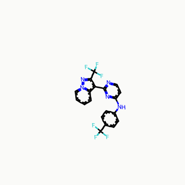 FC(F)(F)c1ccc(Nc2ccnc(-c3c(C(F)(F)F)nn4ccccc34)n2)cc1